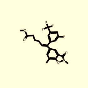 COC(=O)CCC/C=C(\c1cc(F)cc(C(F)(F)F)c1)c1cc(C)c2on(C)c(=O)c2c1